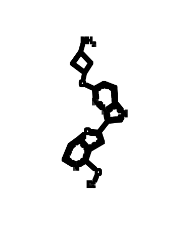 CCOc1nccc2oc(-c3cnc4ccc(OC5CC(N)C5)nn34)cc12